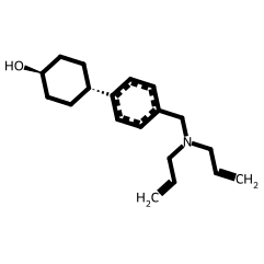 C=CCN(CC=C)Cc1ccc([C@H]2CC[C@H](O)CC2)cc1